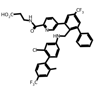 Cc1cc(C(F)(F)F)ccc1-c1ccc(NCc2c(-c3ccccc3)cc(C(F)(F)F)cc2-c2ccc(C(=O)NCCC(=O)O)nc2)cc1Cl